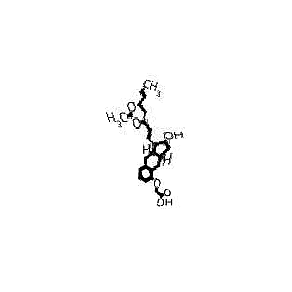 CCCCC[C@@H](CC[C@@H]1[C@H]2Cc3cccc(OCC(=O)O)c3C[C@H]2C[C@H]1O)OC(C)=O